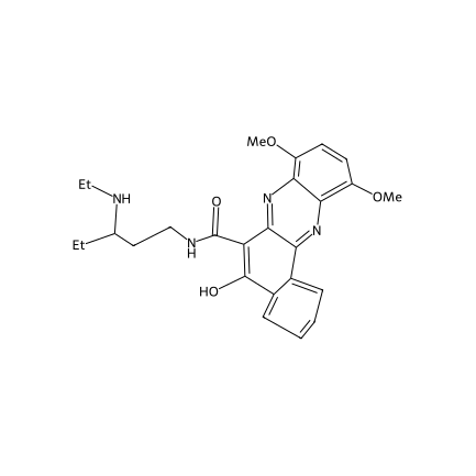 CCNC(CC)CCNC(=O)c1c(O)c2ccccc2c2nc3c(OC)ccc(OC)c3nc12